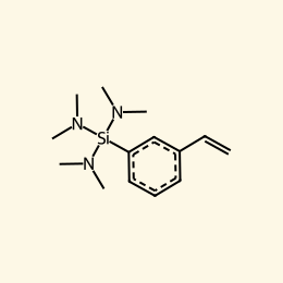 C=Cc1cccc([Si](N(C)C)(N(C)C)N(C)C)c1